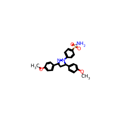 COc1ccc(C2=NN(c3ccc(S(N)(=O)=O)cc3)C(c3ccc(OC)cc3)C2)cc1